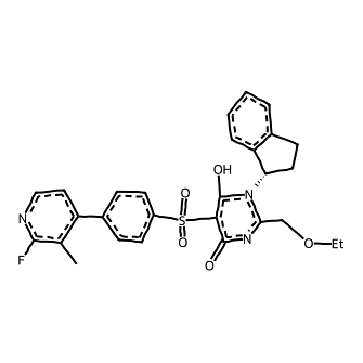 CCOCc1nc(=O)c(S(=O)(=O)c2ccc(-c3ccnc(F)c3C)cc2)c(O)n1[C@H]1CCc2ccccc21